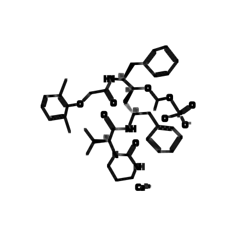 Cc1cccc(C)c1OCC(=O)N[C@@H](Cc1ccccc1)[C@H](C[C@H](Cc1ccccc1)NC(=O)[C@H](C(C)C)N1CCCNC1=O)OC(C)OP(=O)([O-])[O-].[Ca+2]